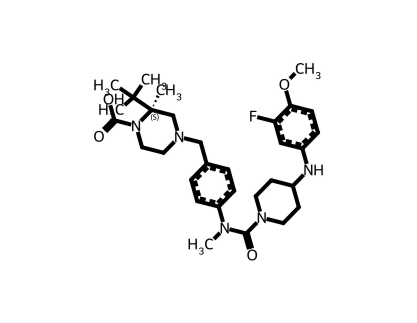 COc1ccc(NC2CCN(C(=O)N(C)c3ccc(CN4CCN(C(=O)O)[C@@](C)(C(C)(C)C)C4)cc3)CC2)cc1F